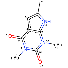 CCCCn1c(=O)c2cc(C)[nH]c2n(CCCC)c1=O